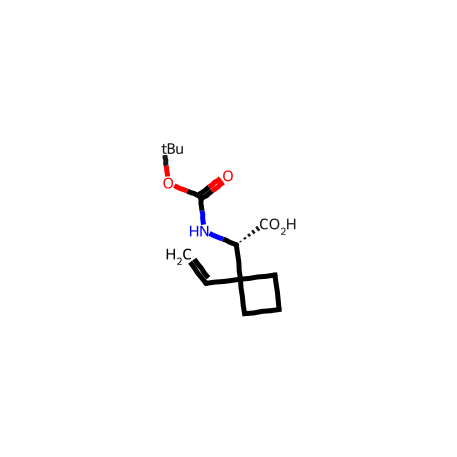 C=CC1([C@H](NC(=O)OC(C)(C)C)C(=O)O)CCC1